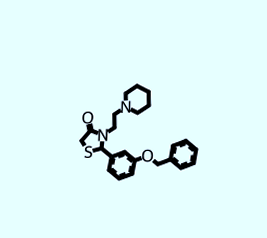 O=C1CSC(c2cccc(OCc3ccccc3)c2)N1CCN1CCCCC1